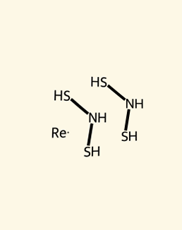 SNS.SNS.[Re]